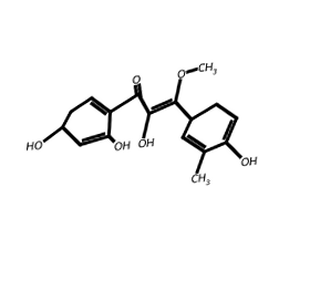 CO/C(=C(/O)C(=O)C1=CCC(O)C=C1O)C1C=C(C)C(O)=CC1